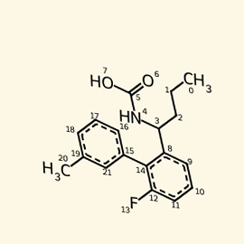 CCCC(NC(=O)O)c1cccc(F)c1-c1cccc(C)c1